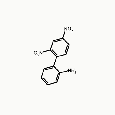 Nc1ccccc1-c1ccc([N+](=O)[O-])cc1[N+](=O)[O-]